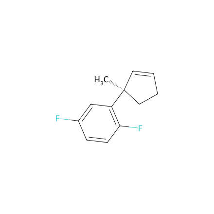 C[C@]1(c2cc(F)ccc2F)C=CCC1